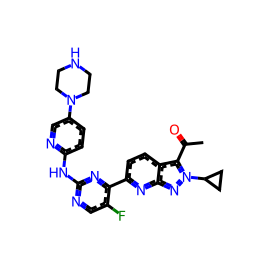 CC(=O)c1c2ccc(-c3nc(Nc4ccc(N5CCNCC5)cn4)ncc3F)nc2nn1C1CC1